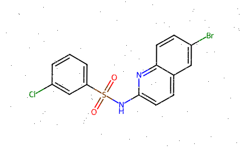 O=S(=O)(Nc1ccc2cc(Br)ccc2n1)c1cccc(Cl)c1